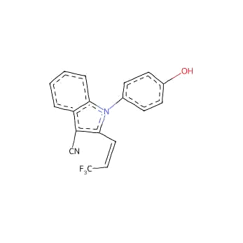 N#Cc1c(/C=C\C(F)(F)F)n(-c2ccc(O)cc2)c2ccccc12